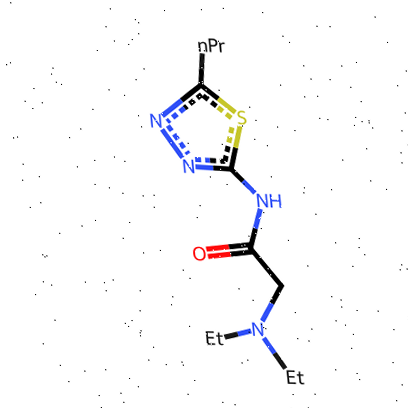 CCCc1nnc(NC(=O)CN(CC)CC)s1